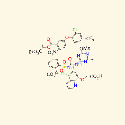 CCOC(=O)C(C)OC(=O)c1cc(Oc2ccc(C(F)(F)F)cc2Cl)ccc1[N+](=O)[O-].COc1nc(C)nc(NC(=O)NS(=O)(=O)c2ccccc2C(=O)O)n1.O=C(O)COc1ccc(Cl)c2cccnc12